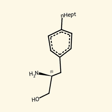 CCCCCCCc1ccc(C[C@H](N)CO)cc1